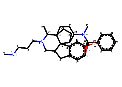 CNCCCN1CC2Cc3ccc(O)cc3C23C2CCC3(CCC2N(C)C(=O)c2ccccc2)C1C